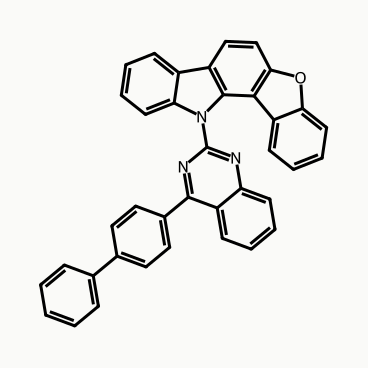 c1ccc(-c2ccc(-c3nc(-n4c5ccccc5c5ccc6oc7ccccc7c6c54)nc4ccccc34)cc2)cc1